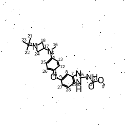 COC(=O)Nc1nc2cc(Oc3ccc(N(C)C4CN(C(C)(C)C)C4)cc3)ccc2[nH]1